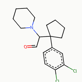 O=CC(N1CCCCC1)C1(c2ccc(Cl)c(Cl)c2)CCCC1